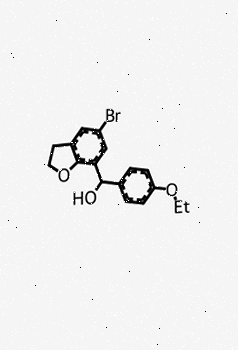 CCOc1ccc(C(O)c2cc(Br)cc3c2OCC3)cc1